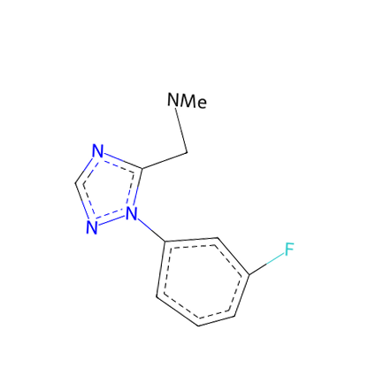 CNCc1ncnn1-c1cccc(F)c1